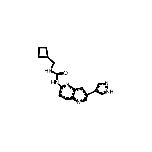 O=C(NCC1CCC1)Nc1ccc2ncc(-c3cn[nH]c3)cc2n1